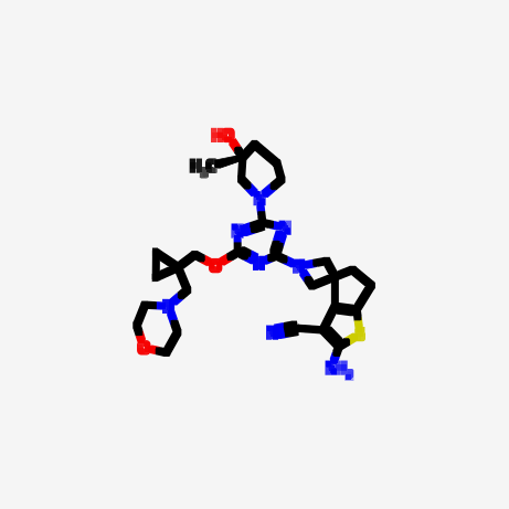 C[C@@]1(O)CCCN(c2nc(OCC3(CN4CCOCC4)CC3)nc(N3CC4(CCc5sc(N)c(C#N)c54)C3)n2)C1